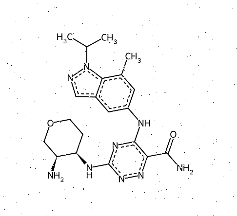 Cc1cc(Nc2nc(N[C@@H]3CCOC[C@@H]3N)nnc2C(N)=O)cc2cnn(C(C)C)c12